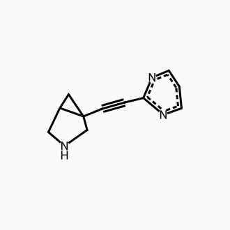 C(#CC12CNCC1C2)c1ncccn1